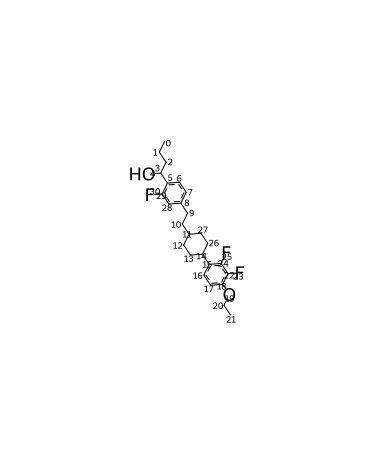 CCCC(O)c1ccc(CCC2CCC(c3ccc(OCC)c(F)c3F)CC2)cc1F